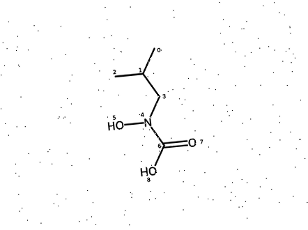 CC(C)CN(O)C(=O)O